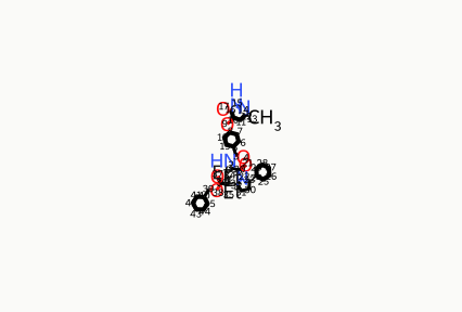 CC[C@@H](NC(=O)c1ccc(Oc2cc(C)n[nH]c2=O)cc1)C(=O)N1[C@H](c2ccccc2)CC[C@@H]1C(CC)(CC)C(=O)OCc1ccccc1